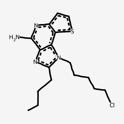 CCCCc1nc2c(N)nc3ccsc3c2n1CCCCCCl